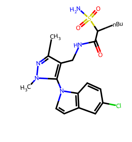 CCCCC(C(=O)NCc1c(C)nn(C)c1-n1ccc2cc(Cl)ccc21)S(N)(=O)=O